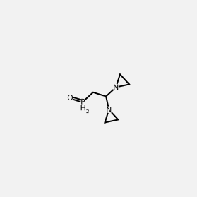 O=[PH2]CC(N1CC1)N1CC1